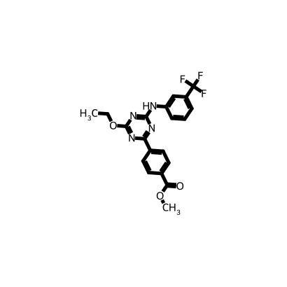 CCOc1nc(Nc2cccc(C(F)(F)F)c2)nc(-c2ccc(C(=O)OC)cc2)n1